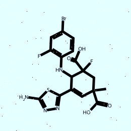 CC1(C(=O)O)C=C(c2nnc(N)s2)C(Nc2ccc(Br)cc2F)C(F)(C(=O)O)C1